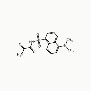 CN(C)c1cccc2c(S(=O)(=O)NC(=O)C(N)=O)cccc12